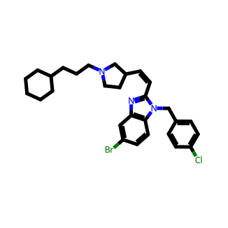 Clc1ccc(Cn2c(/C=C\C3CCN(CCCC4CCCCC4)C3)nc3cc(Br)ccc32)cc1